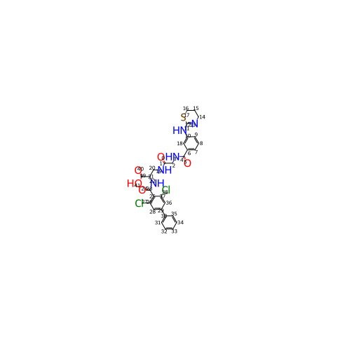 O=C(CNC(=O)c1cccc(NC2=NCCCS2)c1)NCC(NC(=O)c1c(Cl)cc(-c2ccccc2)cc1Cl)C(=O)O